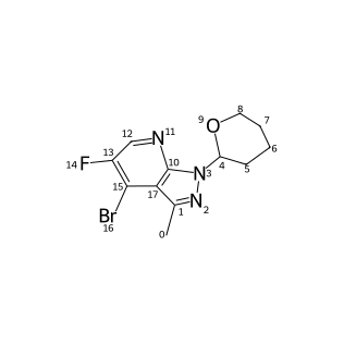 Cc1nn(C2CCCCO2)c2ncc(F)c(Br)c12